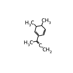 C=C=C(C)C1=CC(C)C(C)C=C1